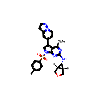 COc1nc(N[C@@H]2[C@@H]3COC[C@@H]32)nc2c1c(-c1ccn3nccc3c1)cn2S(=O)(=O)c1ccc(C)cc1